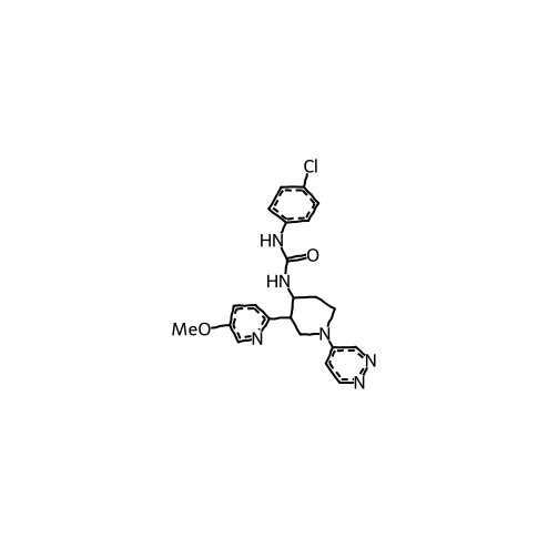 COc1ccc(C2CN(c3ccnnc3)CCC2NC(=O)Nc2ccc(Cl)cc2)nc1